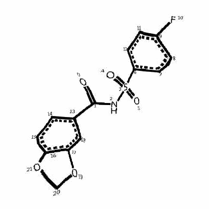 O=C(NS(=O)(=O)c1ccc(F)cc1)c1ccc2c(c1)OCO2